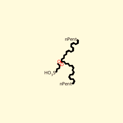 CCCCC/C=C\C/C=C\C/C=C\C/C=C\CCCCC1(CCCC/C=C\C/C=C\C/C=C\C/C=C\CCCCC)OCC(CCCS(=O)(=O)O)O1